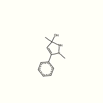 CN1NC(C)(O)C=C1c1ccccc1